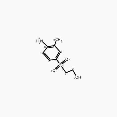 Cc1cc(S(=O)(=O)CCO)ccc1N